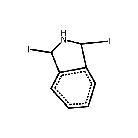 IC1NC(I)c2ccccc21